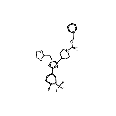 O=C(OCc1ccccc1)N1CCC(c2nc(-c3ccc(F)c(C(F)(F)F)c3)cn2CC2OCCO2)CC1